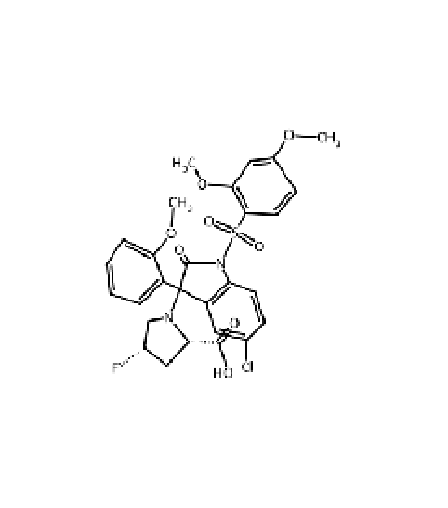 COc1ccc(S(=O)(=O)N2C(=O)C(c3ccccc3OC)(N3C[C@@H](F)C[C@H]3C(=O)O)c3cc(Cl)ccc32)c(OC)c1